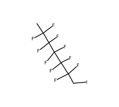 CC(F)(F)C(F)(F)C(F)(F)C(F)(F)C(F)(F)CI